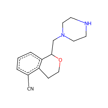 N#Cc1cccc2c1CCOC2CN1CCNCC1